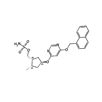 C[C@H]1C[C@H](Oc2cc(OCc3cccc4ccccc34)ncn2)C[C@H]1COS(N)(=O)=O